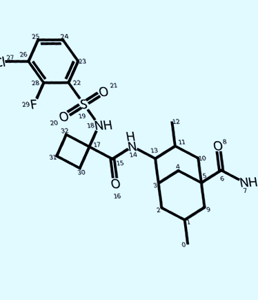 CC1CC2CC(C(N)=O)(C1)CC(C)C2NC(=O)C1(NS(=O)(=O)c2cccc(Cl)c2F)CCC1